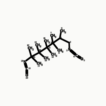 CC(CN=C=O)C(C)(C)C(C)(C)C(C)(C)C(C)(C)N=C=O